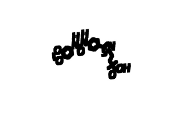 CC(C)(CCc1ncc(-c2ccc(NC(=O)Nc3ccc4c(c3)OCCO4)cc2)s1)C(=O)O